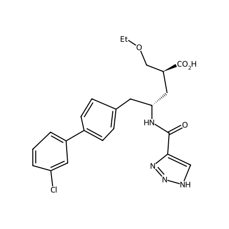 CCOC[C@H](C[C@@H](Cc1ccc(-c2cccc(Cl)c2)cc1)NC(=O)c1c[nH]nn1)C(=O)O